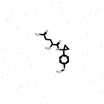 CSc1ccc(C2(NC(=O)C(N)CCC(N)=O)CC2)cc1